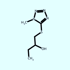 CCC(O)CSc1nnnn1C